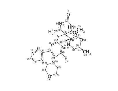 C=C1NC(=O)NC(=O)C12Cc1cc(-c3cnccn3)c(N3CCOCC3)c(F)c1N1C[C@H](C)O[C@H](C)[C@H]12